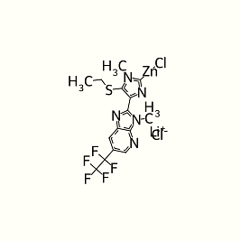 CCSc1c(-c2nc3cc(C(F)(F)C(F)(F)F)cnc3n2C)n[c]([Zn][Cl])n1C.[Cl-].[Li+]